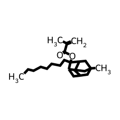 C=C(C)C(=O)OC1(CCCCCCCC)C2CC3CC1CC(C)(C3)C2